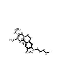 COc1cc2c(cc1OCCCCF)CCN1C[C@@H](CC(C)(C)C)N(C)C[C@H]21